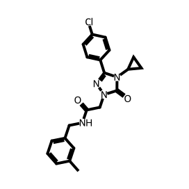 Cc1cccc(CNC(=O)Cn2nc(-c3ccc(Cl)cc3)n(C3CC3)c2=O)c1